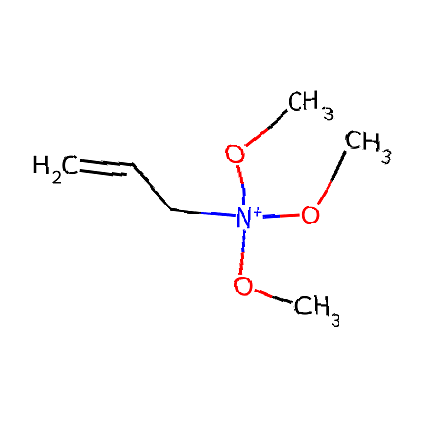 C=CC[N+](OC)(OC)OC